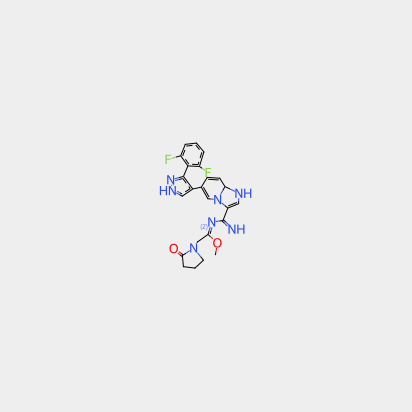 CO/C(CN1CCCC1=O)=N\C(=N)C1=CNC2C=CC(c3c[nH]nc3-c3c(F)cccc3F)=CN12